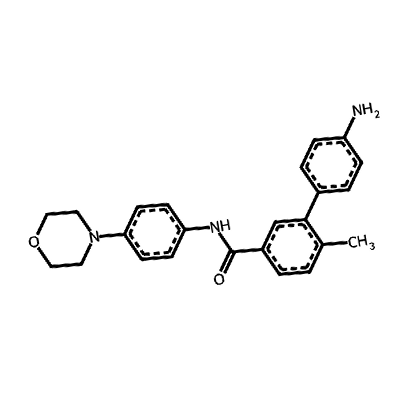 Cc1ccc(C(=O)Nc2ccc(N3CCOCC3)cc2)cc1-c1ccc(N)cc1